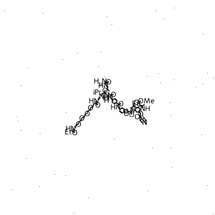 CCC(=O)NCCOCCOCCOCCOCCC(=O)NCCN[C@@H](C(=O)N[C@H](CCCNC(N)=O)C(=O)Nc1ccc(C(=O)Nc2ccc3oc(C(=O)N4CC(CC)c5c4cc(OC(=O)N4CCN(C)CC4)c4[nH]c(C)c(C(=O)OC)c54)cc3c2)cc1)C(C)C